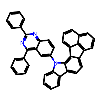 c1ccc(-c2nc(-c3ccccc3)c3cc(-n4c5ccccc5c5ccc6c(c54)-c4cccc5cccc-6c45)ccc3n2)cc1